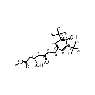 COC(=O)C[C@H](O)CC(=O)CCc1cc(C(C)(C)C)c(O)c(C(C)(C)C)c1